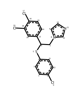 Clc1ccc(SC(Cn2ccnc2)c2ccc(Cl)c(Cl)c2)cc1